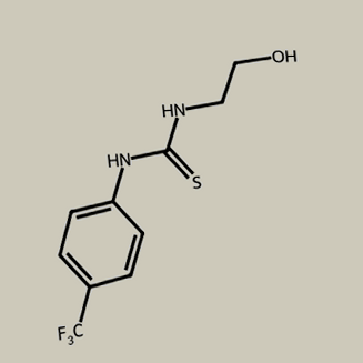 OCCNC(=S)Nc1ccc(C(F)(F)F)cc1